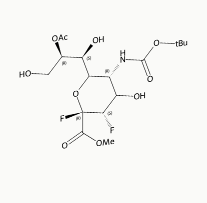 COC(=O)[C@]1(F)OC([C@H](O)[C@@H](CO)OC(C)=O)[C@H](NC(=O)OC(C)(C)C)C(O)[C@@H]1F